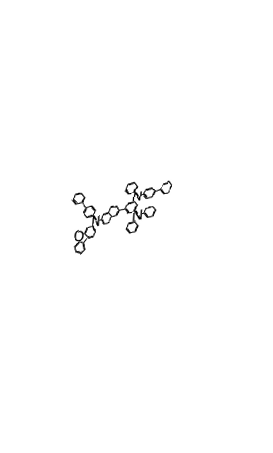 c1ccc(-c2ccc(N(c3ccccc3)c3cc(-c4ccc5cc(N(c6ccc(-c7ccccc7)cc6)c6ccc7c(c6)oc6ccccc67)ccc5c4)cc(N(c4ccccc4)c4ccccc4)c3)cc2)cc1